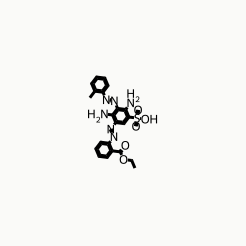 CCOC(=O)c1ccccc1/N=N/c1cc(S(=O)(=O)O)c(N)c(/N=N/c2ccccc2C)c1N